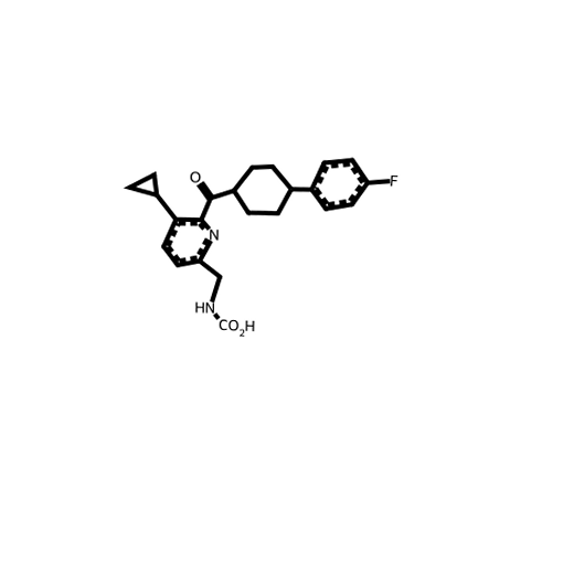 O=C(O)NCc1ccc(C2CC2)c(C(=O)C2CCC(c3ccc(F)cc3)CC2)n1